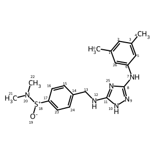 Cc1cc(C)cc(Nc2n[nH]c(NCc3ccc([S+]([O-])N(C)C)cc3)n2)c1